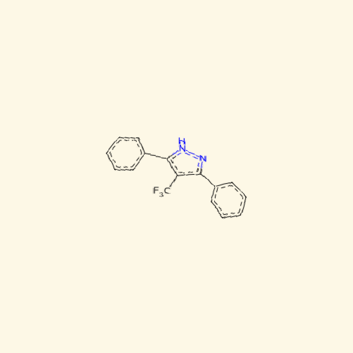 FC(F)(F)c1c(-c2ccccc2)n[nH]c1-c1ccccc1